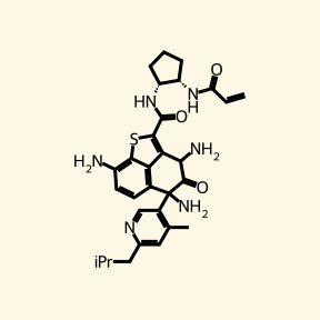 C=CC(=O)N[C@H]1CCC[C@H]1NC(=O)c1sc2c(N)ccc3c2c1C(N)C(=O)C3(N)c1cnc(CC(C)C)cc1C